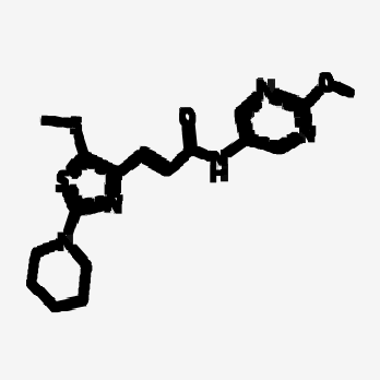 COc1ncc(NC(=O)/C=C/c2nc(N3CCCCC3)sc2SC)cn1